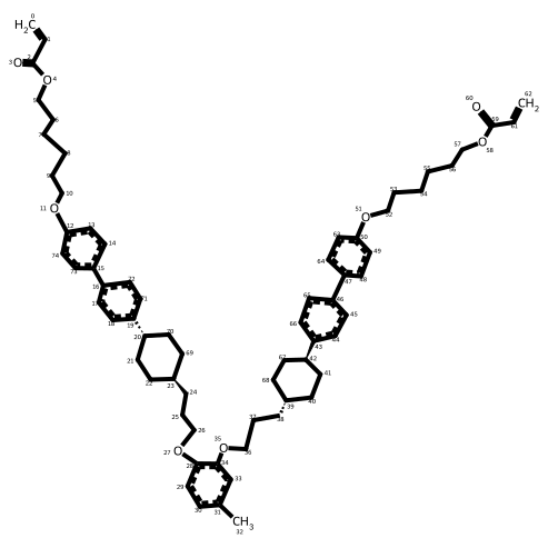 C=CC(=O)OCCCCCCOc1ccc(-c2ccc([C@H]3CC[C@H](CCCOc4ccc(C)cc4OCCC[C@H]4CC[C@H](c5ccc(-c6ccc(OCCCCCCOC(=O)C=C)cc6)cc5)CC4)CC3)cc2)cc1